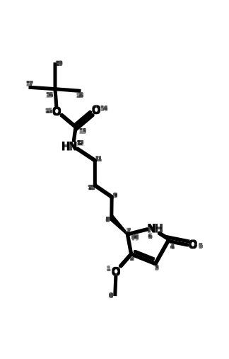 COC1=CC(=O)N[C@@H]1CCCCNC(=O)OC(C)(C)C